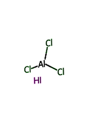 I.[Cl][Al]([Cl])[Cl]